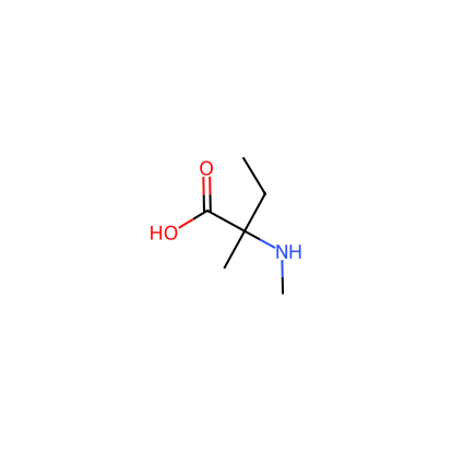 CCC(C)(NC)C(=O)O